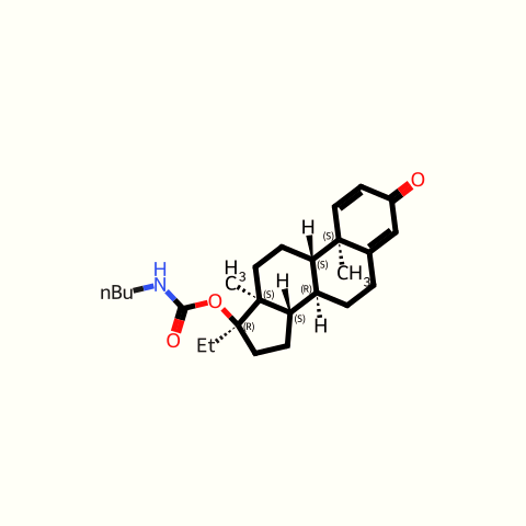 CCCCNC(=O)O[C@]1(CC)CC[C@H]2[C@@H]3CCC4=CC(=O)C=C[C@]4(C)[C@H]3CC[C@@]21C